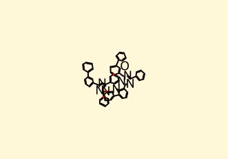 c1ccc(-c2cccc(-c3nc(-c4ccccc4)nc(-c4ccccc4-n4c5ccccc5c5cccc(-c6nc(-c7ccccc7)nc(-c7cccc8c7oc7ccccc78)n6)c54)n3)c2)cc1